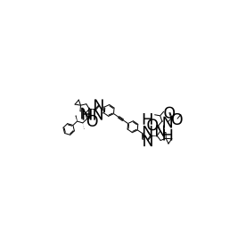 COC(=O)N[C@H](C(=O)N1CC2(CC2)C[C@H]1c1ncc(-c2ccc(C#Cc3ccc4nc([C@@H]5CC6(CC6)CN5C(=O)[C@H](C)[C@H](C)c5ccccc5)[nH]c4c3)cc2)[nH]1)C(C)C